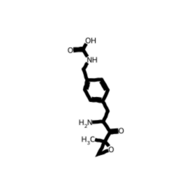 CC1(C(=O)C(N)Cc2ccc(CNC(=O)O)cc2)CO1